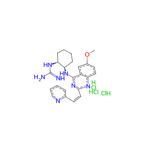 COc1ccc2nc(/C=C\c3ccccn3)nc(N[C@@H]3CCCC[C@@H]3NC(=N)N)c2c1.Cl.Cl.Cl